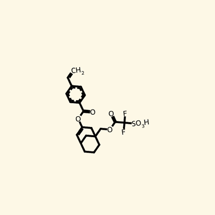 C=Cc1ccc(C(=O)OC2=CC3CCCC(COC(=O)C(F)(F)S(=O)(=O)O)(C2)C3)cc1